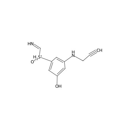 C#CCNc1cc(O)cc([SH2+]([O-])C=N)c1